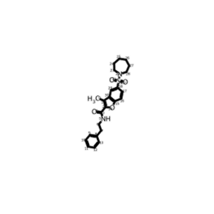 Cc1c(C(=O)NCCc2ccccc2)oc2ccc(S(=O)(=O)N3CCCCCC3)cc12